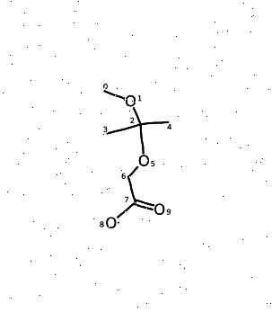 COC(C)(C)OCC([O])=O